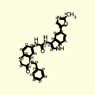 Cc1ncc(-c2ccc3[nH]cc(NC(=O)Nc4ccc5c(c4)N(Cc4ccccc4)C(=O)CS5)c3c2)o1